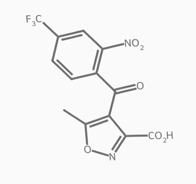 Cc1onc(C(=O)O)c1C(=O)c1ccc(C(F)(F)F)cc1[N+](=O)[O-]